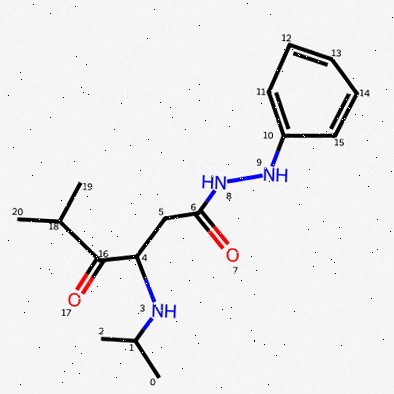 CC(C)NC(CC(=O)NNc1ccccc1)C(=O)C(C)C